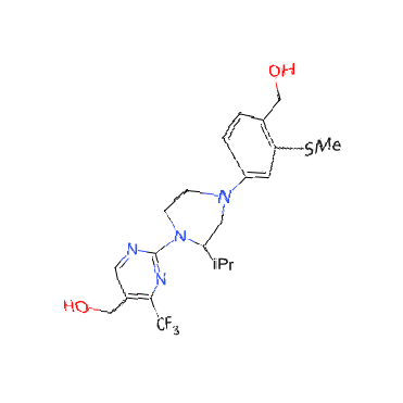 CSc1cc(N2CCN(c3ncc(CO)c(C(F)(F)F)n3)C(C(C)C)C2)ccc1CO